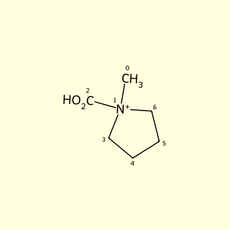 C[N+]1(C(=O)O)CCCC1